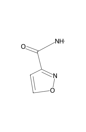 [NH]C(=O)c1ccon1